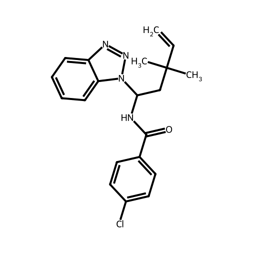 C=CC(C)(C)CC(NC(=O)c1ccc(Cl)cc1)n1nnc2ccccc21